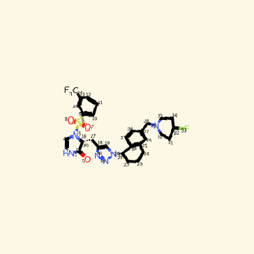 O=C1NC=CN(S(=O)(=O)c2cccc(C(F)(F)F)c2)[C@@H]1Cc1cn([C@H]2CCCc3cc(CN4CCC(F)CC4)ccc32)nn1